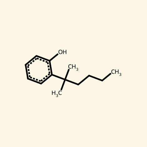 CCCCC(C)(C)c1ccccc1O